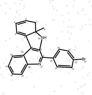 CC12CC=CC=C1c1c(c(-c3ccc(Br)cc3)nc3ccccc13)N2